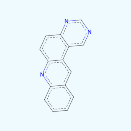 c1ccc2nc3ccc4ncncc4c3cc2c1